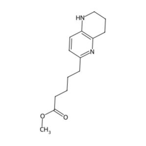 COC(=O)CCCCc1ccc2c(n1)CCCN2